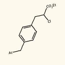 CCOC(=O)C(Cl)Cc1ccc(CC(C)=O)cc1